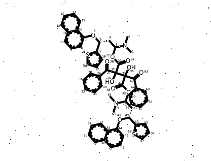 CN(C)C(C[C@@H](Oc1cccc2ccccc12)c1cccs1)OC(=O)C(O)(C(=O)c1ccccc1)C(O)(C(=O)OC(C[C@@H](Oc1cccc2ccccc12)c1cccs1)N(C)C)C(=O)c1ccccc1